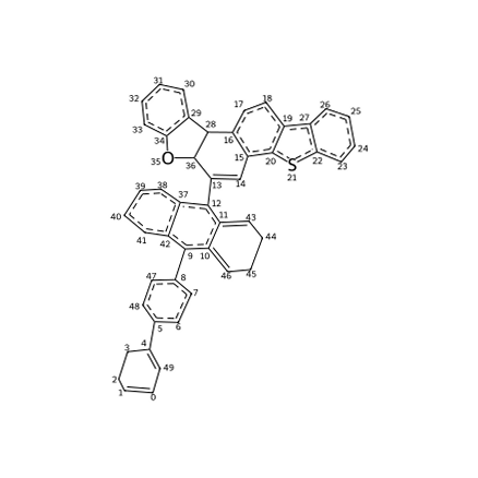 C1=CCCC(c2ccc(-c3c4c(c(C5=Cc6c(ccc7c6sc6ccccc67)C6c7ccccc7OC56)c5ccccc35)=CCCC=4)cc2)=C1